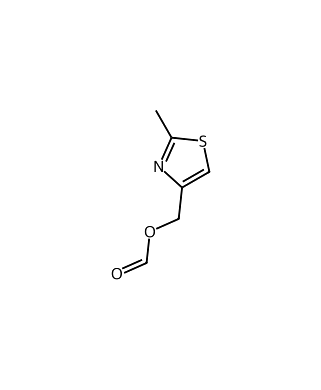 Cc1nc(COC=O)cs1